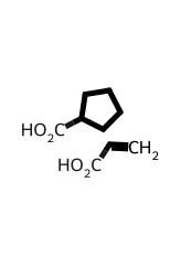 C=CC(=O)O.O=C(O)C1CCCC1